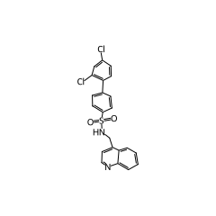 O=S(=O)(NCc1ccnc2ccccc12)c1ccc(-c2ccc(Cl)cc2Cl)cc1